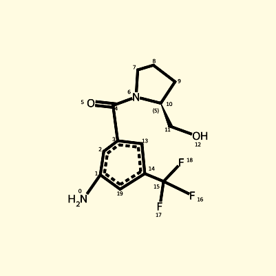 Nc1cc(C(=O)N2CCC[C@H]2CO)cc(C(F)(F)F)c1